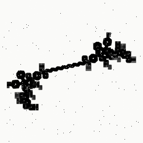 CC(C)c1c(C(=O)Nc2ccc(NC(=O)CCCCCCCCCCCCCCC(=O)Nc3ccc(NC(=O)c4c(-c5ccccc5)c(-c5ccc(F)cc5)n(CC[C@@H](O)C[C@@H](O)CC(=O)O)c4C(C)C)cc3)cc2)c(-c2ccccc2)c(-c2ccc(F)cc2)n1CCC(O)CC(O)CC(=O)O